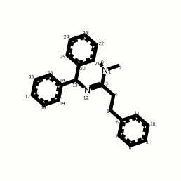 CN(C)C(CCc1ccccc1)=NC(c1ccccc1)c1ccccc1